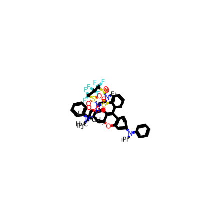 CCN(CCOC(=O)C(C)(C)CC)S(=O)(=O)C(F)(F)C(F)(F)C(F)(F)S(=O)(=O)NS(=O)(=O)C1=CC=CCC1c1c2cc/c(=[N+](\c3ccccc3)C(C)C)cc-2oc2cc(N(c3ccccc3)C(C)C)ccc12